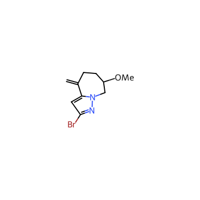 C=C1CCC(OC)Cn2nc(Br)cc21